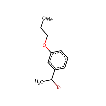 COCCOc1cccc(C(C)Br)c1